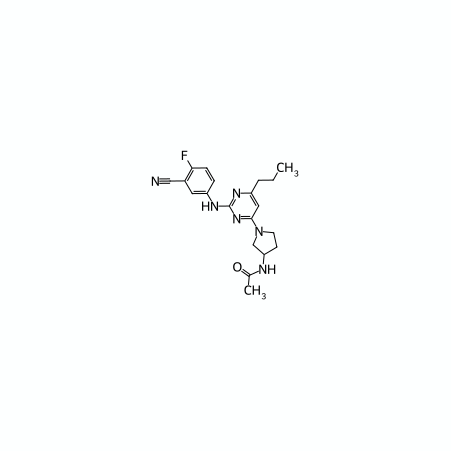 CCCc1cc(N2CCC(NC(C)=O)C2)nc(Nc2ccc(F)c(C#N)c2)n1